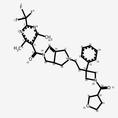 Cc1nc(C(F)(F)F)nc(C)c1C(=O)N1C=C2CN(CCC3(c4ccccc4)CN(C(=O)C4CCOC4)C3)CC2C1